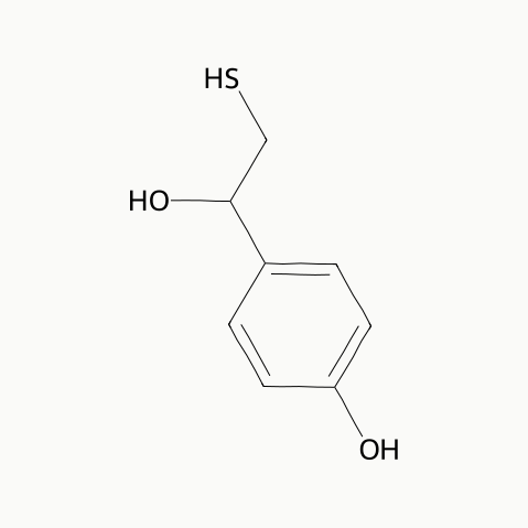 Oc1ccc(C(O)CS)cc1